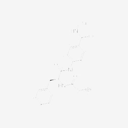 CC(C)(C)NC(c1ccc(NC(=O)[C@H](Cc2ccccc2)NC(=O)OC(C)(C)C)cc1)C(F)(F)F